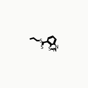 CCCSC(=S)c1cccc2nnsc12